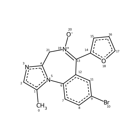 Cc1cnc2n1-c1ccc(Br)cc1C(c1ccco1)=[N+]([O-])C2